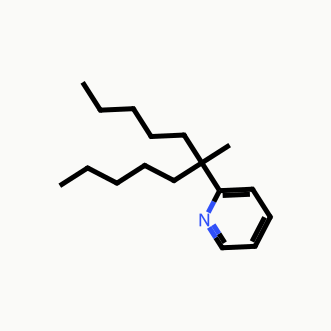 CCCCCC(C)(CCCCC)c1ccccn1